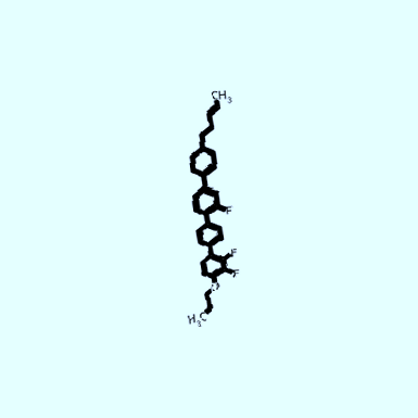 C/C=C/CCC1CC=C(c2ccc(-c3ccc(-c4ccc(OCCC)c(F)c4F)cc3)c(F)c2)CC1